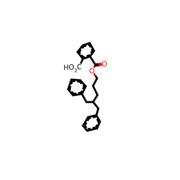 O=C(O)c1ccccc1C(=O)OCCCC(Cc1ccccc1)Cc1ccccc1